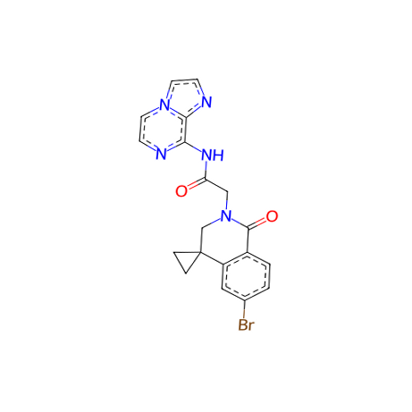 O=C(CN1CC2(CC2)c2cc(Br)ccc2C1=O)Nc1nccn2ccnc12